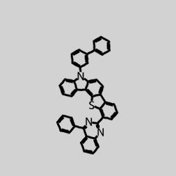 c1ccc(-c2cccc(-n3c4ccccc4c4c5sc6c(-c7nc(-c8ccccc8)c8ccccc8n7)cccc6c5ccc43)c2)cc1